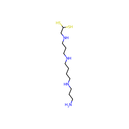 NCCCNCCCCNCCCNCC(S)S